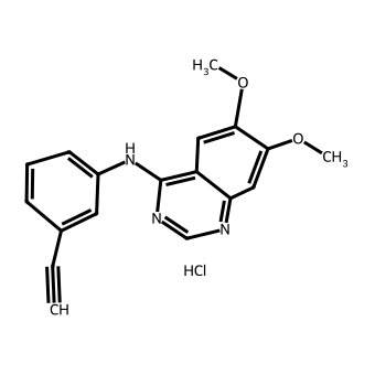 C#Cc1cccc(Nc2ncnc3cc(OC)c(OC)cc23)c1.Cl